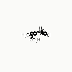 C=Cc1ccc2c(c1CCC(=O)O)CCC(CCNS(=O)(=O)c1ccc(Cl)cc1)C2